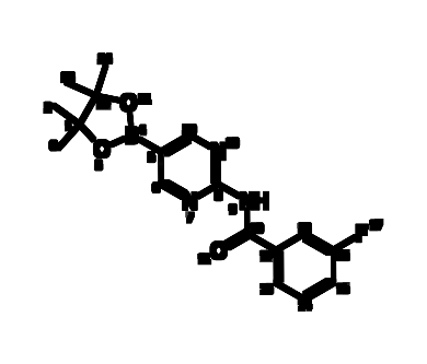 CC1(C)OB(c2cnc(NC(=O)c3cccc(F)c3)nc2)OC1(C)C